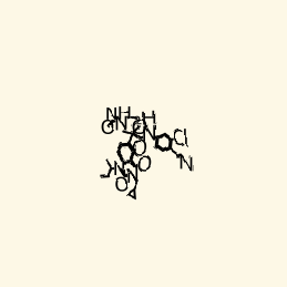 CCC(C)n1c(=O)n(CC2CC2)c(=O)c2cc(C3(C(=O)Nc4ccc(C#N)c(Cl)c4)CN(C(N)=O)CCO3)ccc21